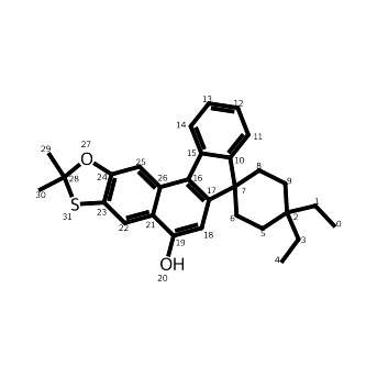 CCC1(CC)CCC2(CC1)c1ccccc1-c1c2cc(O)c2cc3c(cc12)OC(C)(C)S3